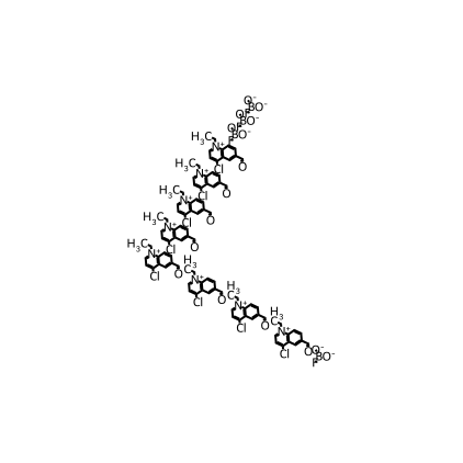 CC[n+]1ccc(Cl)c2cc(C=O)ccc21.CC[n+]1ccc(Cl)c2cc(C=O)ccc21.CC[n+]1ccc(Cl)c2cc(C=O)ccc21.CC[n+]1ccc(Cl)c2cc(C=O)ccc21.CC[n+]1ccc(Cl)c2cc(C=O)ccc21.CC[n+]1ccc(Cl)c2cc(C=O)ccc21.CC[n+]1ccc(Cl)c2cc(C=O)ccc21.CC[n+]1ccc(Cl)c2cc(C=O)ccc21.[O-]B([O-])F.[O-]B([O-])F.[O-]B([O-])F.[O-]B([O-])F